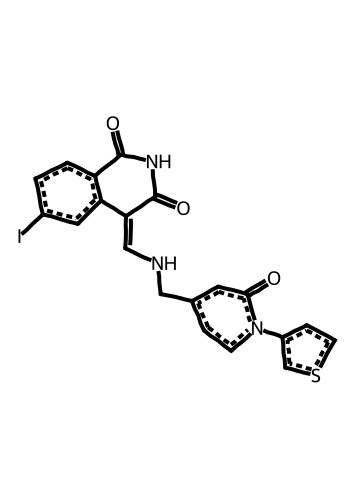 O=C1NC(=O)c2ccc(I)cc2C1=CNCc1ccn(-c2ccsc2)c(=O)c1